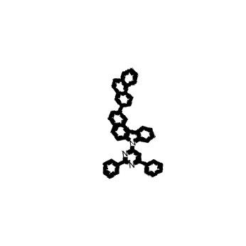 c1ccc(-c2cc(-n3c4ccccc4c4c5cc(-c6ccc7c(ccc8ccccc87)c6)ccc5ccc43)nc(-c3ccccc3)n2)cc1